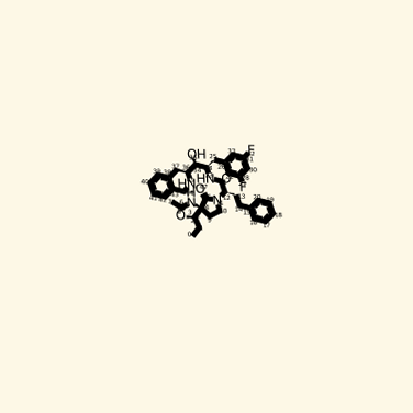 CC[C@@H](C)[C@@]1(NC(C)=O)CCN([C@@H](CCc2ccccc2)C(=O)N[C@@H](Cc2cc(F)cc(F)c2)[C@H](O)[C@@H]2Cc3ccccc3CN2)C1=O